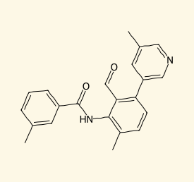 Cc1cccc(C(=O)Nc2c(C)ccc(-c3cncc(C)c3)c2C=O)c1